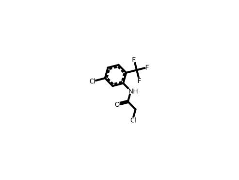 O=C(CCl)Nc1cc(Cl)ccc1C(F)(F)F